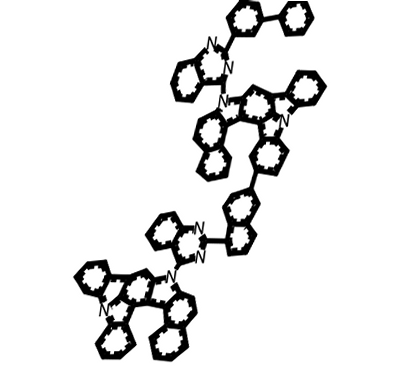 c1ccc(-c2cccc(-c3nc(-n4c5ccc6ccccc6c5c5c6c7cc(-c8ccc9c(-c%10nc(-n%11c%12ccc%13ccccc%13c%12c%12c%13c%14ccccc%14n%14c%15ccccc%15c(cc%12%11)c%13%14)c%11ccccc%11n%10)cccc9c8)ccc7n7c8ccccc8c(cc54)c67)c4ccccc4n3)c2)cc1